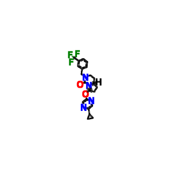 O=C1N(Cc2cccc(C(F)(F)F)c2)CC[C@H]2CC[C@@H](Oc3cnc(C4CC4)cn3)N12